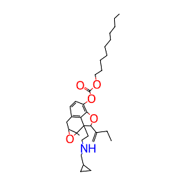 C=C(CC)C1Oc2c(OC(=O)OCCCCCCCCCC)ccc3c2C1(CCNCC1CC1)C1(C)OC1C3